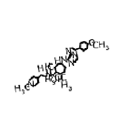 COc1ccc(-c2cnc3c(NC4CCC(C)(C)C(C(O)NCCC5CCN(C)CC5)C(C)C4)nccn23)cc1